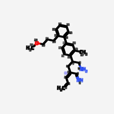 C=C/C=C(\C=N)CC(CN)c1ccc(-c2ccccc2CCCOC)cc1C